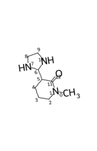 CN1CCCC(C2NCCN2)C1=O